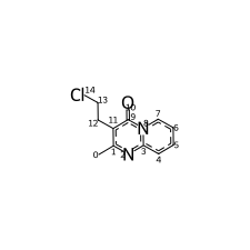 Cc1nc2ccccn2c(=O)c1CCCl